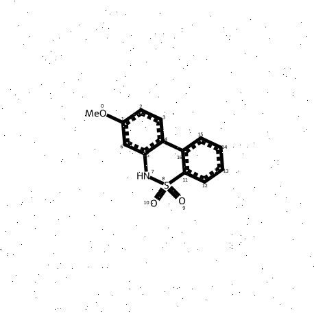 COc1ccc2c(c1)NS(=O)(=O)c1ccccc1-2